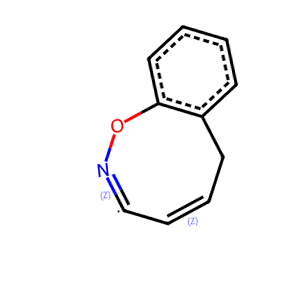 [C]1=N\Oc2ccccc2C\C=C/1